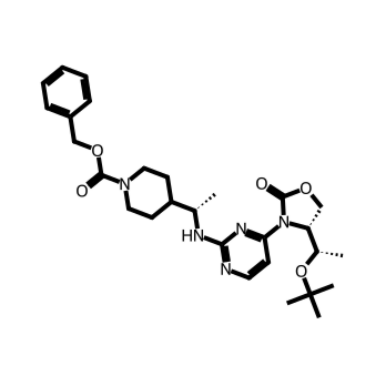 C[C@H](Nc1nccc(N2C(=O)OC[C@@H]2[C@H](C)OC(C)(C)C)n1)C1CCN(C(=O)OCc2ccccc2)CC1